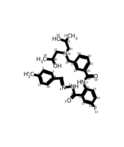 Cc1ccc(C=NNC(=O)c2cc(F)ccc2NC(=O)c2cccc(CN(CC(C)O)CC(C)O)c2)cc1